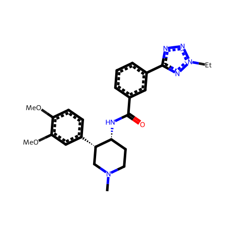 CCn1nnc(-c2cccc(C(=O)N[C@@H]3CCN(C)C[C@@H]3c3ccc(OC)c(OC)c3)c2)n1